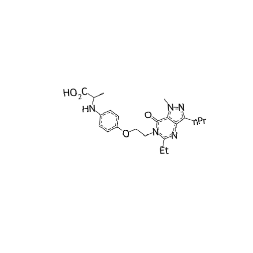 CCCc1nn(C)c2c(=O)n(CCOc3ccc(NC(C)C(=O)O)cc3)c(CC)nc12